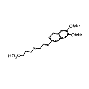 COc1cc2ccc(/C=C/CSCCCC(=O)O)cc2cc1OC